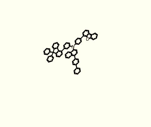 c1ccc(-c2ccc(-c3ccc(N(c4ccc(-c5cccc6c5oc5ccccc56)cc4)c4cccc(-c5cccc6c5-c5ccccc5C6(c5ccccc5)c5ccccc5)c4)c4ccccc34)cc2)cc1